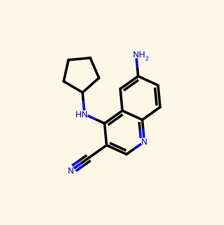 N#Cc1cnc2ccc(N)cc2c1NC1CCCC1